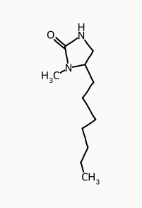 CCCCCCCC1CNC(=O)N1C